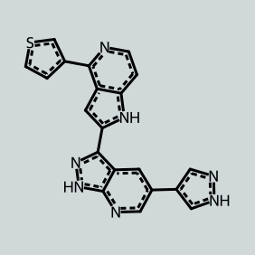 c1cc2[nH]c(-c3n[nH]c4ncc(-c5cn[nH]c5)cc34)cc2c(-c2ccsc2)n1